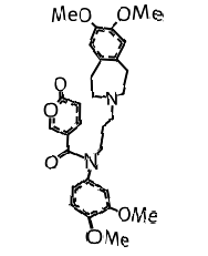 COc1ccc(N(CCCN2CCc3cc(OC)c(OC)cc3CC2)C(=O)c2ccc(=O)oc2)cc1OC